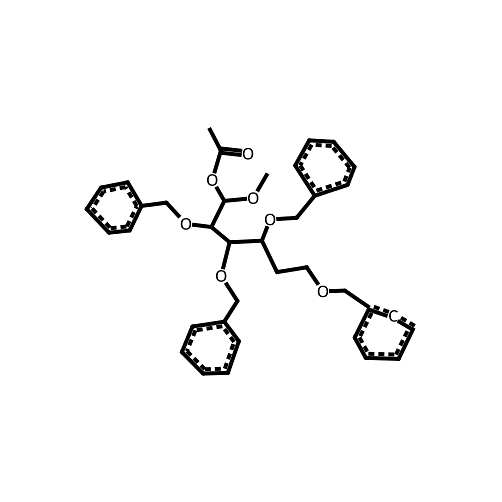 COC(OC(C)=O)C(OCc1ccccc1)C(OCc1ccccc1)C(CCOCc1ccccc1)OCc1ccccc1